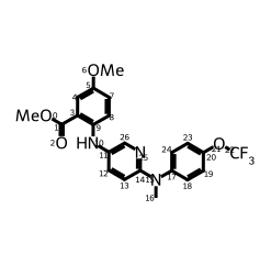 COC(=O)c1cc(OC)ccc1Nc1ccc(N(C)c2ccc(OC(F)(F)F)cc2)nc1